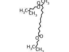 CCC(CCCCCCCCCCCCC(=O)OCCCC(C)C)C(=O)OCCCC(C)C